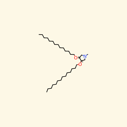 CCCCCCCCCCCCCCO[C@@H]1CN(C)C[C@H]1OCCCCCCCCCCCCCC